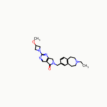 CCN1CCc2ccc(CN3Cc4nc(N5CC(OC)C5)ncc4C3=O)cc2CC1